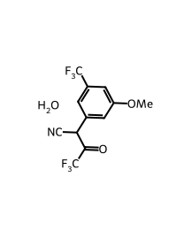 COc1cc(C(C#N)C(=O)C(F)(F)F)cc(C(F)(F)F)c1.O